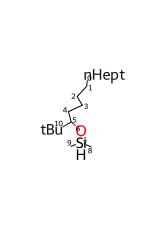 CCCCCCCCCCCC(O[SiH](C)C)C(C)(C)C